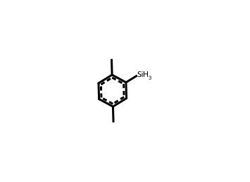 Cc1ccc(C)c([SiH3])c1